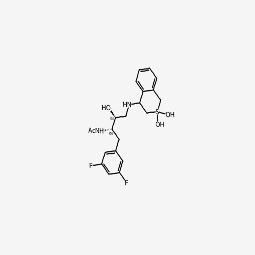 CC(=O)N[C@@H](Cc1cc(F)cc(F)c1)[C@@H](O)CNC1CS(O)(O)Cc2ccccc21